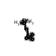 COc1cc(CCN2CCN(CCCCOc3ccccc3C3Sc4ccccc4C(c4ccccc4)[NH+]3[O-])CC2)cc(OC)c1OC